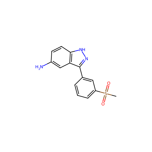 CS(=O)(=O)c1cccc(-c2n[nH]c3ccc(N)cc23)c1